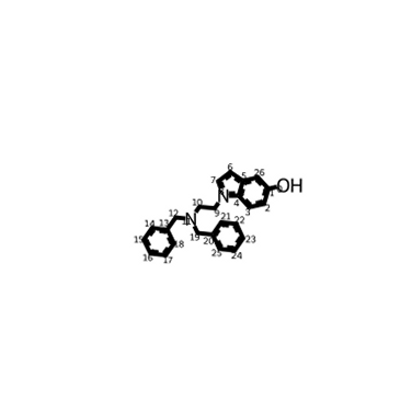 Oc1ccc2c(ccn2CCN(Cc2ccccc2)Cc2ccccc2)c1